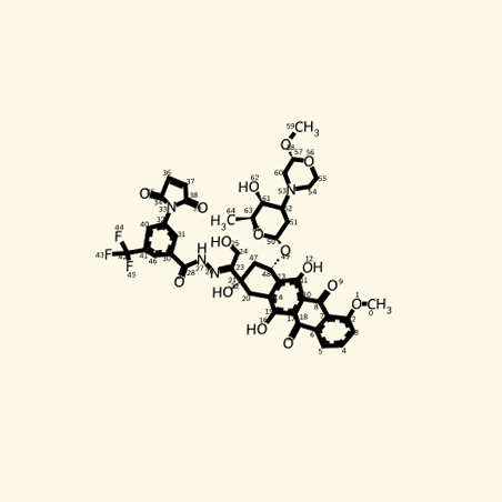 COc1cccc2c1C(=O)c1c(O)c3c(c(O)c1C2=O)C[C@@](O)(/C(CO)=N/NC(=O)c1cc(N2C(=O)C=CC2=O)cc(C(F)(F)F)c1)C[C@@H]3O[C@H]1CC(N2CCO[C@@H](OC)C2)[C@H](O)[C@H](C)O1